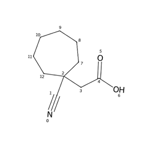 N#CC1(CC(=O)O)CCCCCC1